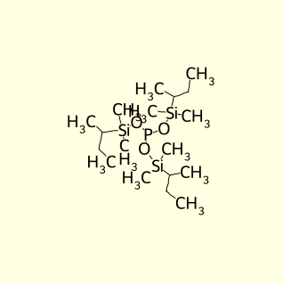 CCC(C)[Si](C)(C)OP(O[Si](C)(C)C(C)CC)O[Si](C)(C)C(C)CC